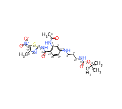 CC(=O)Nc1cc(NCCCNC(=O)OC(C)(C)C)ccc1C(=O)Nc1nc(C)c([N+](=O)[O-])s1